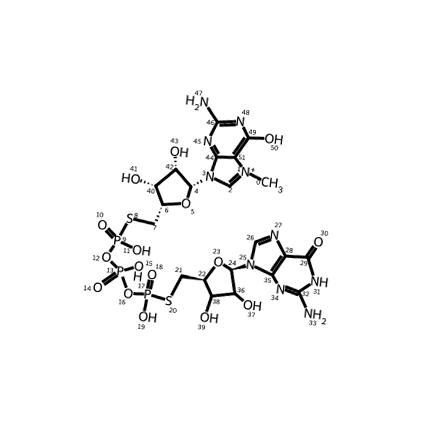 C[n+]1cn([C@@H]2O[C@H](CSP(=O)(O)OP(=O)(O)OP(=O)(O)SC[C@H]3O[C@@H](n4cnc5c(=O)[nH]c(N)nc54)C(O)C3O)[C@H](O)[C@@H]2O)c2nc(N)nc(O)c21